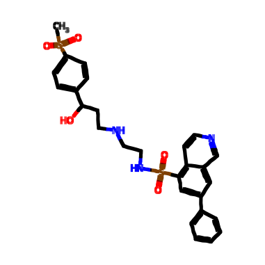 CS(=O)(=O)c1ccc(C(O)CCNCCNS(=O)(=O)c2cc(-c3ccccc3)cc3cnccc23)cc1